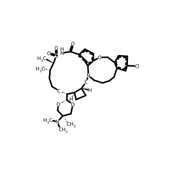 C[C@@H]1[C@@H](C)CCC[C@@H]([C@H]2OC[C@](C)(N(C)C)CO2)[C@@H]2CC[C@H]2CN2CCCCc3cc(Cl)ccc3COc3ccc(cc32)C(=O)NS1(=O)=O